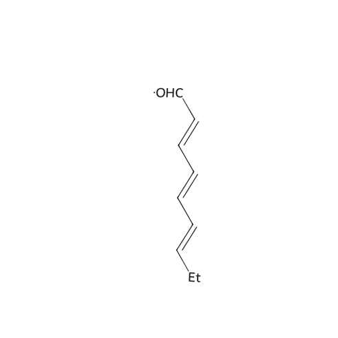 CCC=CC=CC=C[C]=O